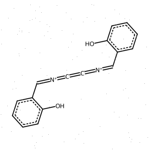 Oc1ccccc1C=[N+]=C=C=[N+]=Cc1ccccc1O